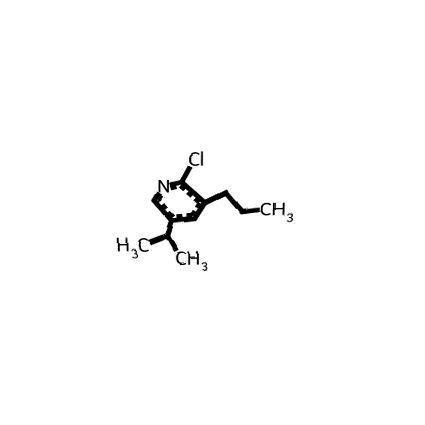 CCCc1cc(C(C)C)cnc1Cl